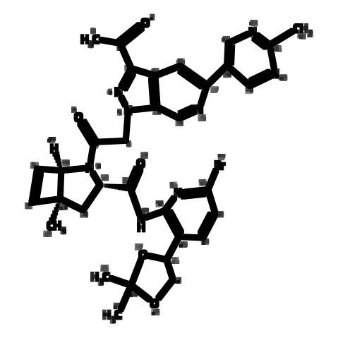 CC(=O)c1nn(CC(=O)N2[C@H](C(=O)Nc3nc(Br)ccc3C3COC(C)(C)O3)C[C@@]3(C)C=C[C@@H]23)c2cnc(-c3cnc(C)nc3)cc12